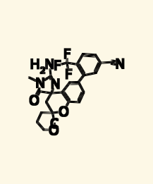 CN1C(=O)C2(CC3(CCCOC3)Oc3ccc(-c4cc(C#N)ccc4C(F)(F)F)cc32)N=C1N